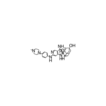 CN1CCN(c2ccc(Nc3cc(N[C@@H]4C5CC6C[C@H]4CC(O)(C6)C5)c(C(N)=O)cn3)cc2)CC1